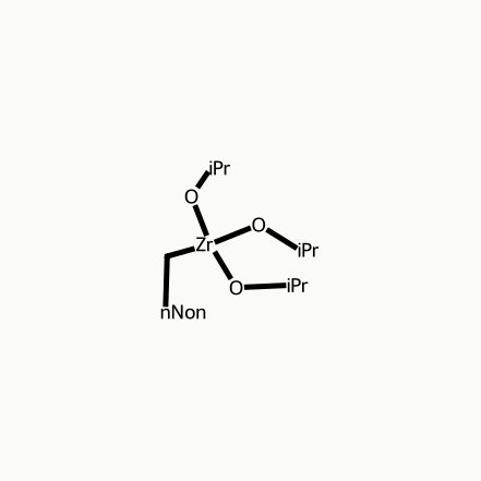 CCCCCCCCC[CH2][Zr]([O]C(C)C)([O]C(C)C)[O]C(C)C